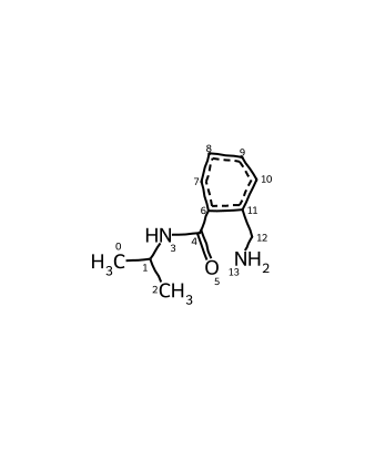 CC(C)NC(=O)c1ccccc1CN